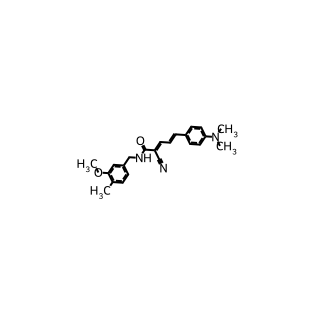 COc1cc(CNC(=O)/C(C#N)=C/C=C/c2ccc(N(C)C)cc2)ccc1C